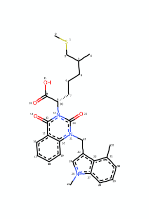 CSCC(C)CCC[C@@H](C(=O)O)n1c(=O)c2ccccc2n(Cc2cn(C)c3cccc(C)c23)c1=O